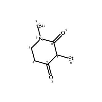 CCC1C(=O)CCN(C(C)(C)C)C1=O